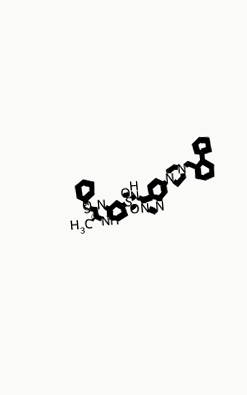 C[C@@H](CSc1ccccc1)Nc1ccc(S(=O)(=O)Nc2ncnc3cc(N4CCN(Cc5ccccc5-c5ccccc5)CC4)ccc23)cc1[N+](=O)[O-]